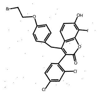 O=c1oc2c(I)c(O)ccc2c(Cc2ccc(OCCBr)cc2)c1-c1ccc(Cl)cc1Cl